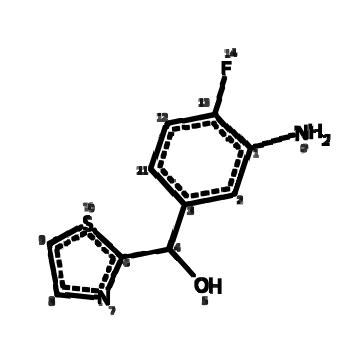 Nc1cc(C(O)c2nccs2)ccc1F